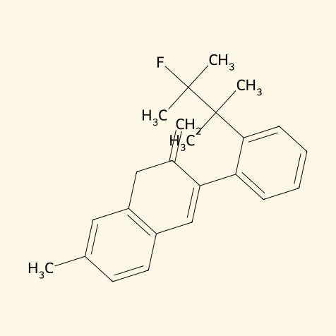 C=C1Cc2cc(C)ccc2C=C1c1ccccc1C(C)(C)C(C)(C)F